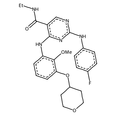 CCNC(=O)c1cnc(Nc2ccc(F)cc2)nc1Nc1cccc(OC2CCOCC2)c1OC